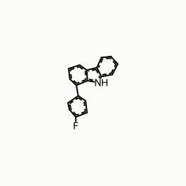 Fc1ccc(-c2cccc3c2[nH]c2ccccc23)cc1